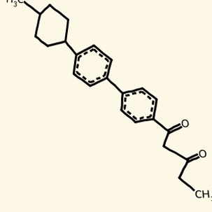 CCC(=O)CC(=O)c1ccc(-c2ccc(C3CCC(C)CC3)cc2)cc1